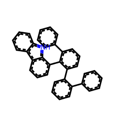 c1ccc(-c2ccccc2-c2cccc(-c3ccccc3)c2-c2cccc3c2[nH]c2ccccc23)cc1